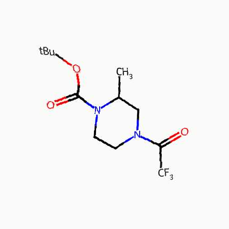 CC1CN(C(=O)C(F)(F)F)CCN1C(=O)OC(C)(C)C